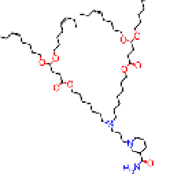 CC/C=C\CCCCOC(CCC(=O)OCCCCCCCN(CCCCCCCOC(=O)CCC(OCCCC/C=C\CC)OCCCC/C=C\CC)CCCN1CCCC(C(N)=O)C1)OCCCC/C=C\CC